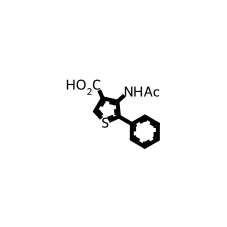 CC(=O)Nc1c(C(=O)O)csc1-c1ccccc1